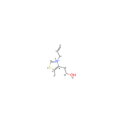 C=CC[n+]1csc(C)c1CCO